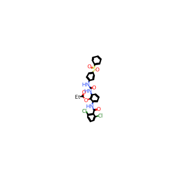 CCC(=O)Oc1c(NC(=O)Nc2ccc(S(=O)(=O)c3ccccc3)cc2)cccc1NC(=O)c1c(Cl)cccc1Cl